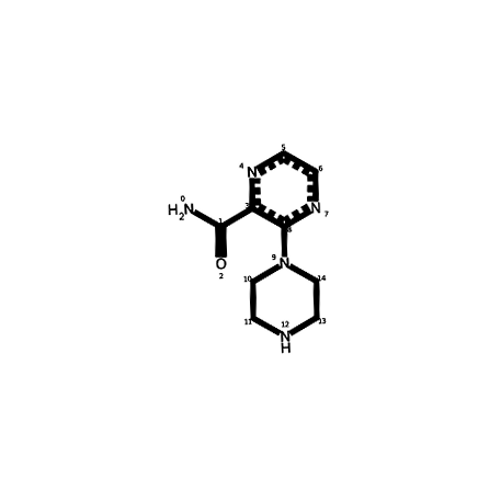 NC(=O)c1nccnc1N1CCNCC1